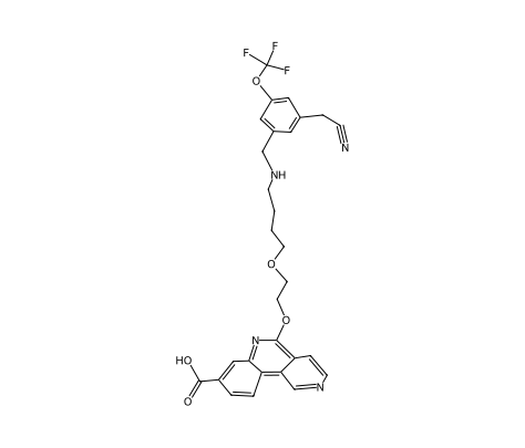 N#CCc1cc(CNCCCCOCCOc2nc3cc(C(=O)O)ccc3c3cnccc23)cc(OC(F)(F)F)c1